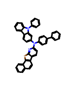 c1ccc(-c2ccc(N(c3ccc4c5ccccc5n(-c5ccccc5)c4c3)c3ccc4c(n3)sc3c5ccccc5ccc43)cc2)cc1